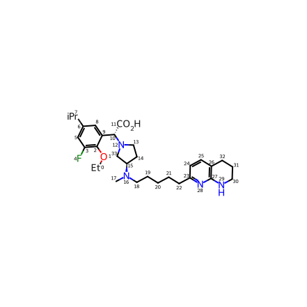 CCOc1c(F)cc(C(C)C)cc1[C@H](C(=O)O)N1CC[C@@H](N(C)CCCCCc2ccc3c(n2)NCCC3)C1